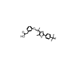 Cc1sc(-c2ccc(C(F)(F)F)cc2)nc1[C@H](C)COc1cccc(CC(=O)O)c1